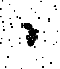 CCc1cc(NC(=O)c2ccccc2F)ccc1CN1CCNCC1